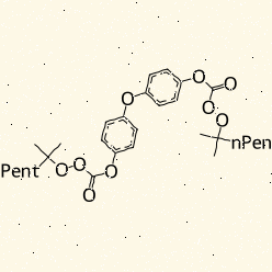 CCCCCC(C)(C)OOC(=O)Oc1ccc(Oc2ccc(OC(=O)OOC(C)(C)CCCCC)cc2)cc1